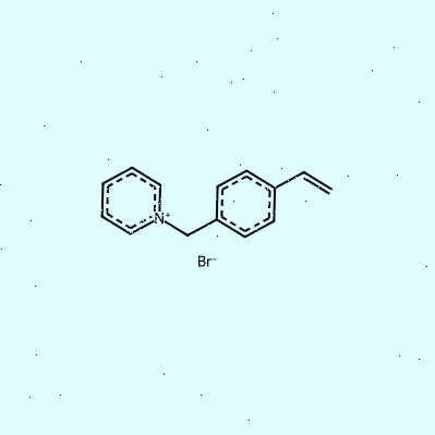 C=Cc1ccc(C[n+]2ccccc2)cc1.[Br-]